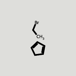 C1=CCC=C1.CCBr